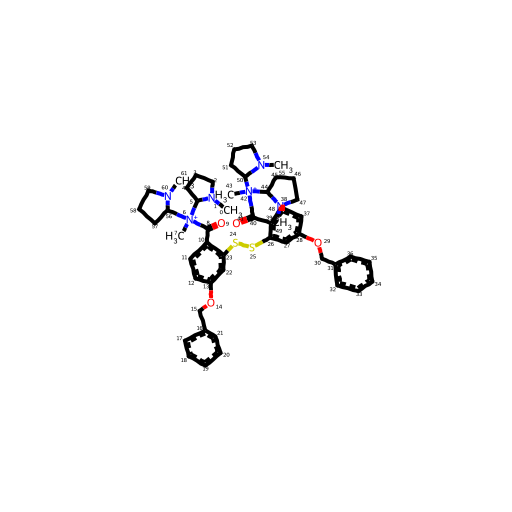 CN1CCCC1[N+](C)(C(=O)c1ccc(OCc2ccccc2)cc1SSc1cc(OCc2ccccc2)ccc1C(=O)[N+](C)(C1CCCN1C)C1CCCN1C)C1CCCN1C